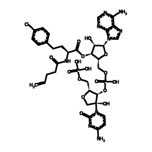 C=CCCC(=O)N[C@@H](CCc1ccc(Cl)cc1)C(=O)O[C@@H]1[C@H](O)[C@H](n2cnc3c(N)ncnc32)O[C@@H]1COP(=O)(O)O[C@H]1[C@@H](COP(=O)(O)O)OC[C@]1(O)n1ccc(N)nc1=O